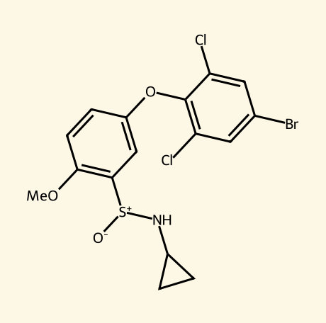 COc1ccc(Oc2c(Cl)cc(Br)cc2Cl)cc1[S+]([O-])NC1CC1